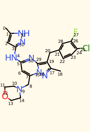 Cc1cc(Nc2cc(CN3CCOCC3)n3nc(C)c(Cc4ccc(Cl)c(F)c4)c3n2)n[nH]1